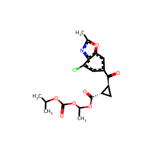 Cc1nc2c(Cl)cc(C(=O)[C@H]3C[C@@H]3C(=O)OC(C)OC(=O)OC(C)C)cc2o1